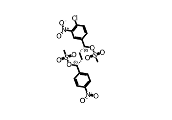 CS(=O)(=O)O[C@H](CC[C@@H](OS(C)(=O)=O)c1ccc(Cl)c([N+](=O)[O-])c1)c1ccc([N+](=O)[O-])cc1